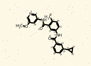 COc1cncc(NC(=O)c2cc(NC(=O)c3cccc(C4CC4)c3)ccc2C)c1